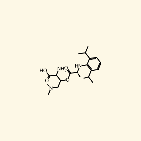 CC(C)c1cccc(C(C)C)c1N[C@@H](C)C(=O)OC(CN(C)C)C(N)C(=O)O